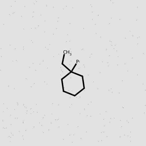 CCC1([P])CCCCC1